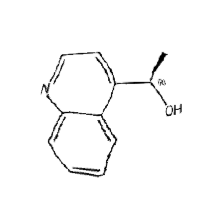 C[C@@H](O)c1ccnc2ccccc12